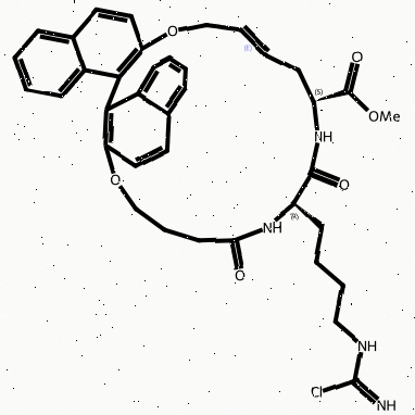 COC(=O)[C@@H]1C/C=C/COc2ccc3ccccc3c2-c2c(ccc3ccccc23)OCCCC(=O)N[C@H](CCCCNC(=N)Cl)C(=O)N1